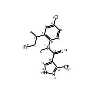 CC(C)CC(C)c1cc(Cl)ccc1N(C)C(=O)c1c[nH]nc1C(F)(F)F